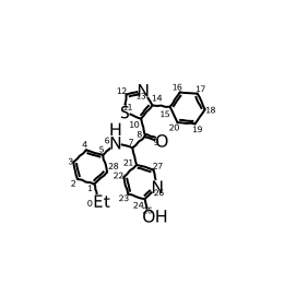 CCc1cccc(NC(C(=O)c2scnc2-c2ccccc2)c2ccc(O)nc2)c1